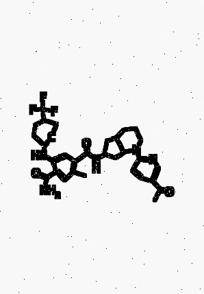 CC(=O)c1ccc(N2CCCC3CC(NC(=O)c4cc(NC5CCC(C(F)(F)F)CC5)c(C(N)=O)cc4C)CC32)nc1